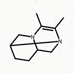 CC1=C(C)N2CC3CCC2CN13